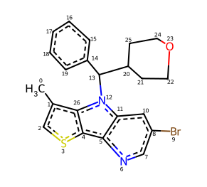 Cc1csc2c3ncc(Br)cc3n(C(c3ccccc3)C3CCOCC3)c12